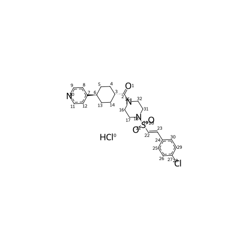 Cl.O=C([C@H]1CC[C@H](c2ccncc2)CC1)N1CCN(S(=O)(=O)/C=C/c2ccc(Cl)cc2)CC1